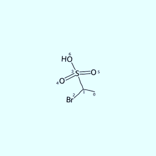 CC(Br)S(=O)(=O)O